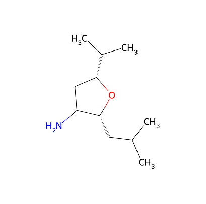 CC(C)C[C@H]1O[C@@H](C(C)C)CC1N